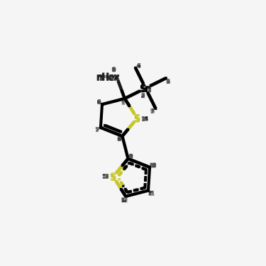 CCCCCC[C]1([Sn]([CH3])([CH3])[CH3])CC=C(c2cccs2)S1